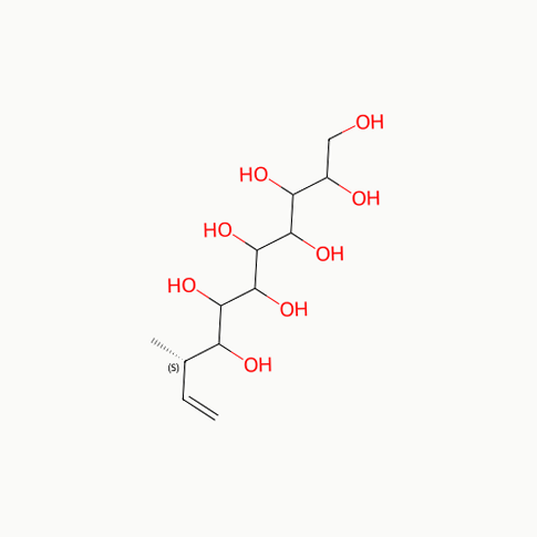 C=C[C@H](C)C(O)C(O)C(O)C(O)C(O)C(O)C(O)CO